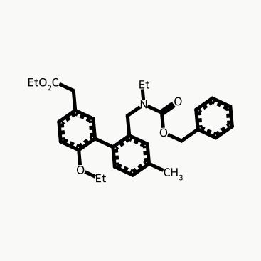 CCOC(=O)Cc1ccc(OCC)c(-c2ccc(C)cc2CN(CC)C(=O)OCc2ccccc2)c1